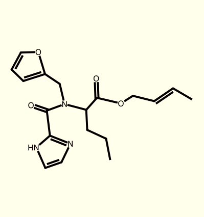 CC=CCOC(=O)C(CCC)N(Cc1ccco1)C(=O)c1ncc[nH]1